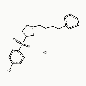 Cl.O=S(=O)(c1ccc(O)cc1)C1CCN(CCCCc2ccccc2)C1